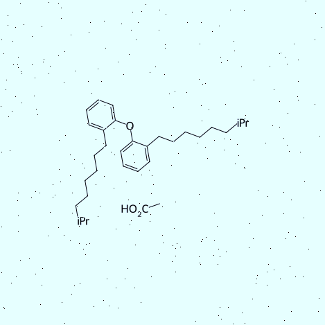 CC(=O)O.CC(C)CCCCCCc1ccccc1Oc1ccccc1CCCCCCC(C)C